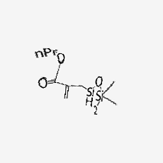 C=C(C[SiH2]O[Si](C)(C)C)C(=O)OCCC